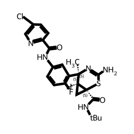 CC(C)(C)NC(=O)[C@]12C[C@H]1[C@@](C)(c1cc(NC(=O)c3ccc(Cl)cn3)ccc1F)N=C(N)S2